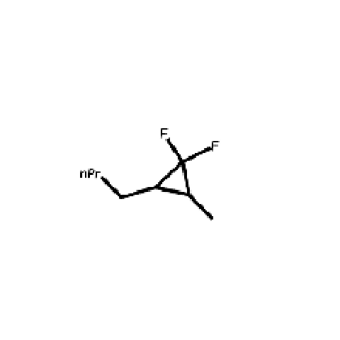 CCCCC1C(C)C1(F)F